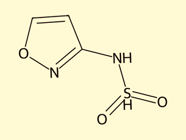 O=[SH](=O)Nc1ccon1